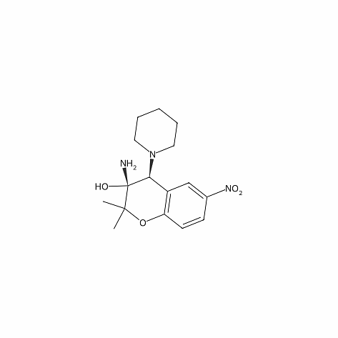 CC1(C)Oc2ccc([N+](=O)[O-])cc2[C@H](N2CCCCC2)[C@@]1(N)O